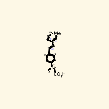 C/C=C(\C=C/NC)/C=C/c1ccc(N(C)CC(=O)O)cc1